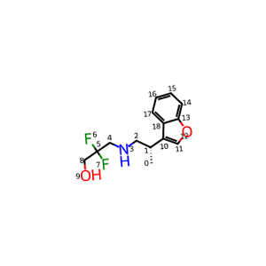 C[C@H](CNCC(F)(F)CO)c1coc2ccccc12